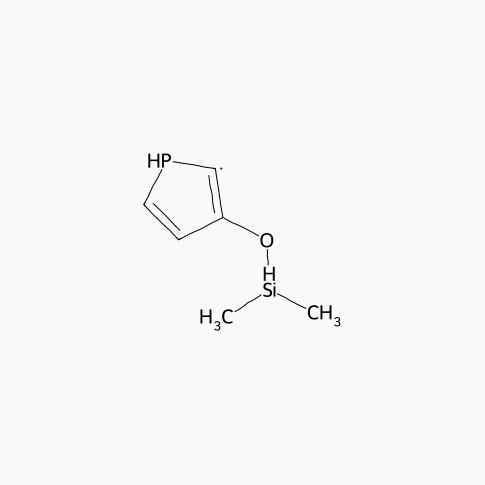 C[SiH](C)Oc1[c][pH]cc1